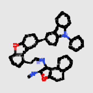 C=Nc1oc2ccc3ccccc3c2c1/N=C\Cc1cccc2oc3ccc(-c4ccc5c(c4)c4ccccc4n5-c4ccccc4)cc3c12